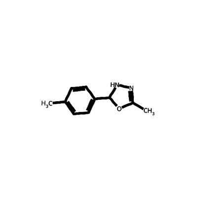 CC1=NNC(c2ccc(C)cc2)O1